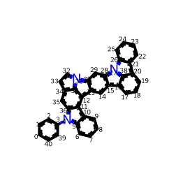 c1ccc(-n2c3ccccc3c3c4c5cc6c7cccc8c9ccccc9n(c6cc5n5ccc(cc32)c45)c87)cc1